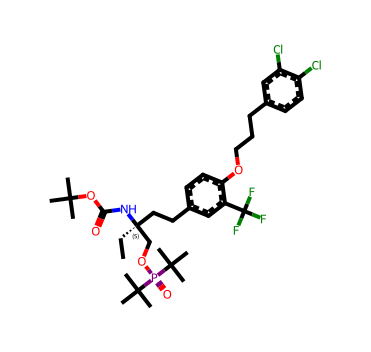 CC[C@](CCc1ccc(OCCCc2ccc(Cl)c(Cl)c2)c(C(F)(F)F)c1)(COP(=O)(C(C)(C)C)C(C)(C)C)NC(=O)OC(C)(C)C